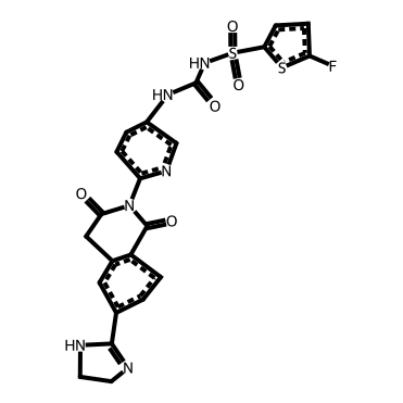 O=C(Nc1ccc(N2C(=O)Cc3cc(C4=NCCN4)ccc3C2=O)nc1)NS(=O)(=O)c1ccc(F)s1